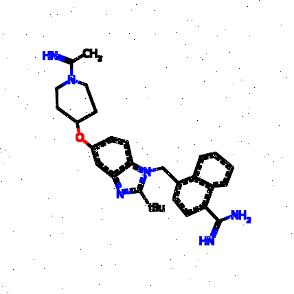 CC(=N)N1CCC(Oc2ccc3c(c2)nc(C(C)(C)C)n3Cc2ccc(C(=N)N)c3ccccc23)CC1